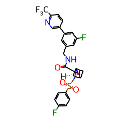 O=C(NCc1cc(F)cc(-c2ccc(C(F)(F)F)nc2)c1)[C@@H]1C2CC(C2)N1S(=O)(=O)c1ccc(F)cc1